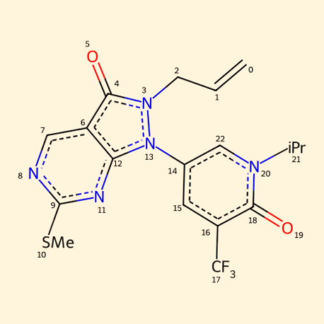 C=CCn1c(=O)c2cnc(SC)nc2n1-c1cc(C(F)(F)F)c(=O)n(C(C)C)c1